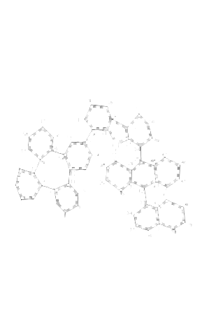 c1ccc2c(c1)-c1ccccc1-c1ccc(-c3cccc4c3oc3c(-c5c6ccccc6c(-c6cccc7ccccc67)c6ccccc56)cccc34)cc1-c1ccccc1-2